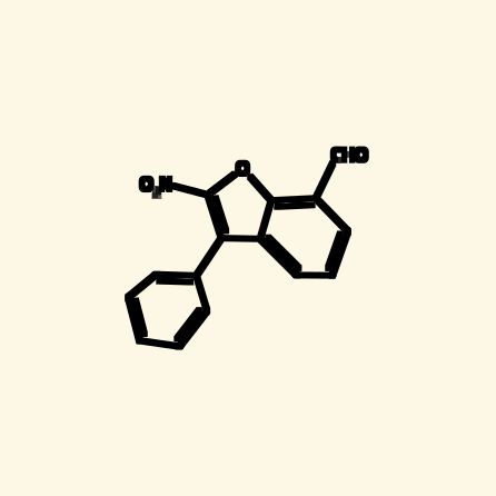 O=Cc1cccc2c(-c3ccccc3)c([N+](=O)[O-])oc12